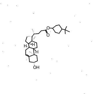 C[C@H](CCC(=O)OC1CCC(C(C)(C)C)CC1)[C@H]1CC[C@H]2[C@@H]3CC=C4C[C@@H](O)CC[C@]4(C)[C@H]3CC[C@]12C